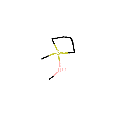 CBS1(C)CCC1